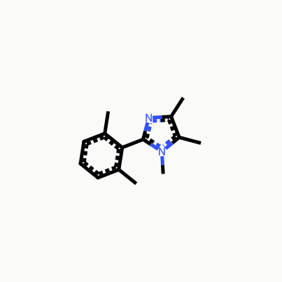 Cc1cccc(C)c1-c1nc(C)c(C)n1C